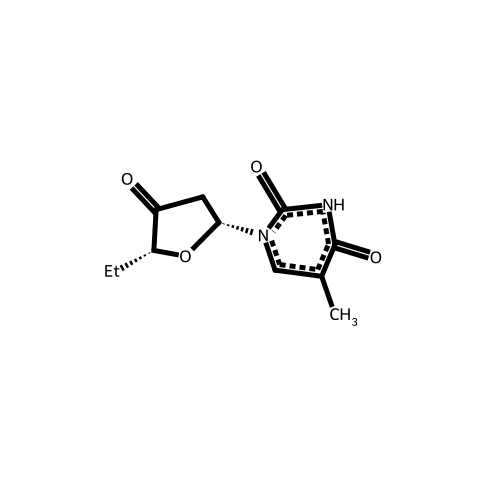 CC[C@H]1O[C@@H](n2cc(C)c(=O)[nH]c2=O)CC1=O